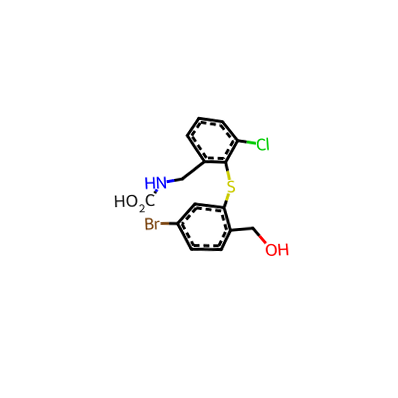 O=C(O)NCc1cccc(Cl)c1Sc1cc(Br)ccc1CO